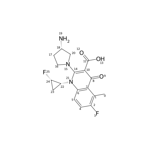 Cc1c(F)ccc2c1c(=O)c(C(=O)O)c(N1CC[C@H](N)C1)n2[C@@H]1C[C@@H]1F